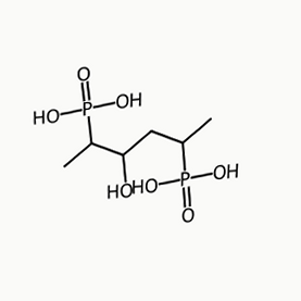 CC(CC(O)C(C)P(=O)(O)O)P(=O)(O)O